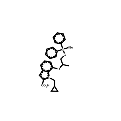 CC(CO[Si](c1ccccc1)(c1ccccc1)C(C)(C)C)Oc1cccc2cc(C(=O)O)n(CC3CC3)c12